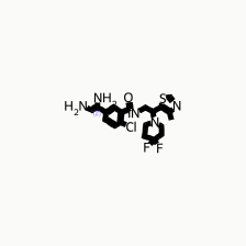 Cc1ncsc1C(CNC(=O)c1cc(/C(N)=C/N)ccc1Cl)N1CCC(F)(F)CC1